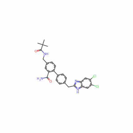 CC(C)(C)C(=O)NCc1ccc(-c2ccc(Cc3nc4cc(Cl)c(Cl)cc4[nH]3)cc2)c(C(N)=O)c1